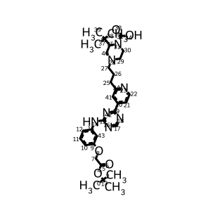 CC(C)(C)OC(=O)COc1cccc(Nc2ncnc(-c3ccnc(CCCN4CCN(C(=O)O)C(C(C)(C)C)C4)c3)n2)c1